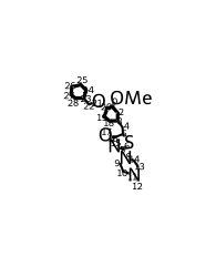 COc1cc(CC2SC(N3CCN(C)CC3)=NC2=O)ccc1OCc1ccccc1